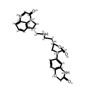 O=C1COc2ccc(N3C[C@@H](CCNC[C@H]4Cn5c(=O)cnc6cccc4c65)OC3=O)cc2N1